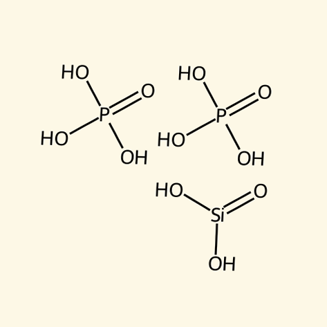 O=P(O)(O)O.O=P(O)(O)O.O=[Si](O)O